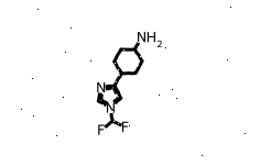 NC1CCC(c2cn(C(F)F)cn2)CC1